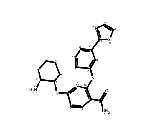 NC(=O)c1ccc(N[C@@H]2CCCC[C@@H]2N)nc1Nc1cccc(-c2nccs2)c1